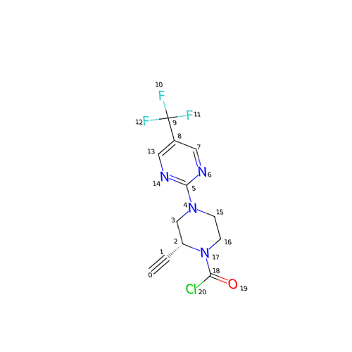 C#C[C@@H]1CN(c2ncc(C(F)(F)F)cn2)CCN1C(=O)Cl